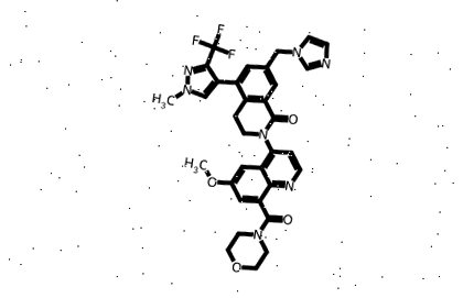 COc1cc(C(=O)N2CCOCC2)c2nccc(N3CCc4c(cc(Cn5ccnc5)cc4-c4cn(C)nc4C(F)(F)F)C3=O)c2c1